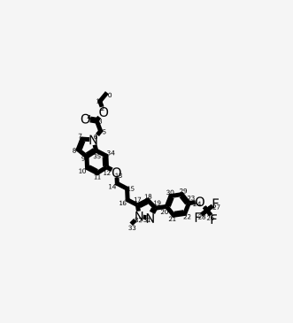 CCOC(=O)Cn1ccc2ccc(OCCCc3cc(-c4ccc(OC(F)(F)F)cc4)nn3C)cc21